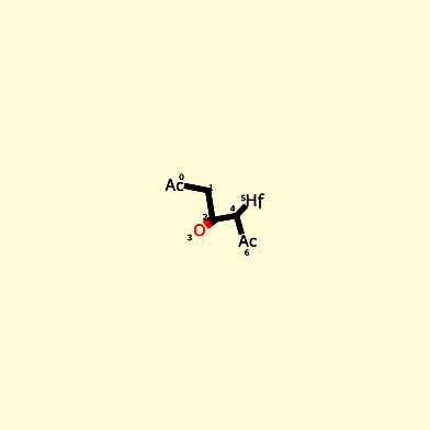 CC(=O)CC(=O)[CH]([Hf])C(C)=O